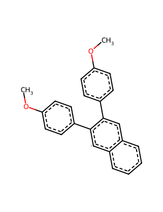 COc1ccc(-c2[c]c3ccccc3cc2-c2ccc(OC)cc2)cc1